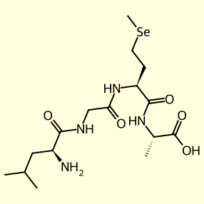 C[Se]CC[C@H](NC(=O)CNC(=O)[C@@H](N)CC(C)C)C(=O)N[C@@H](C)C(=O)O